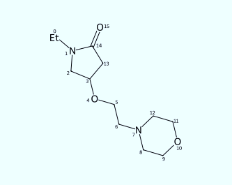 CCN1CC(OCCN2CCOCC2)CC1=O